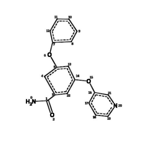 NC(=O)c1cc(Oc2ccccc2)cc(Oc2cccnc2)c1